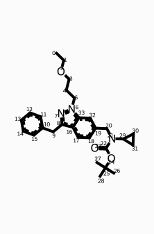 CCOCCCn1nc(Cc2ccccc2)c2ccc(CN(C(=O)OC(C)(C)C)C3CC3)cc21